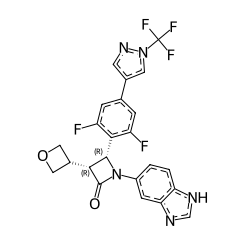 O=C1[C@H](C2COC2)[C@H](c2c(F)cc(-c3cnn(C(F)(F)F)c3)cc2F)N1c1ccc2[nH]cnc2c1